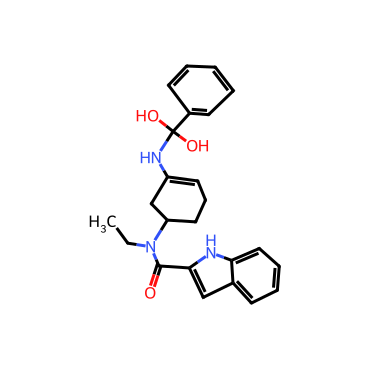 CCN(C(=O)c1cc2ccccc2[nH]1)C1CCC=C(NC(O)(O)c2ccccc2)C1